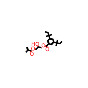 C=C(C)C(=O)OCC(O)COC(=O)c1cc(C(C)(C)CC)cc(C(C)(C)CC)c1